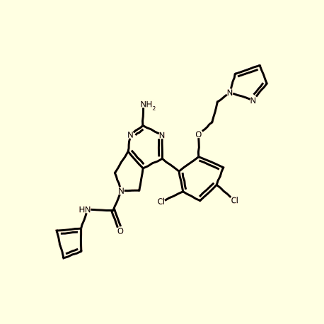 Nc1nc2c(c(-c3c(Cl)cc(Cl)cc3OCCn3cccn3)n1)CN(C(=O)NC1=CC=C1)C2